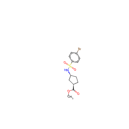 COC(=O)[C@@H]1CC[C@H](NS(=O)(=O)c2ccc(Br)cc2)C1